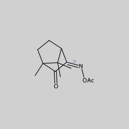 CC(=O)O/N=C1\C(=O)C2(C)CCC1C2(C)C